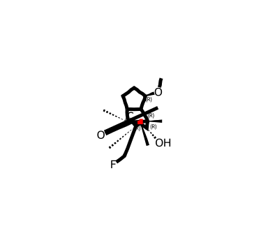 CO[C@@H]1CCC23CC[C@@H](C)[C@](C)(C12)[C@H](O)C[C@@](C)(CF)C(=O)[C@@H]3C